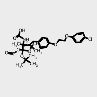 CC(C)(C)OC(OP=O)(OC(C)(C)C)C(C)(CCc1ccc(OCCOc2ccc(Cl)cc2)cc1)NC(=O)O